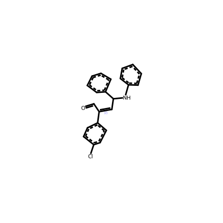 O=C/C(=C\C(Nc1ccccc1)c1ccccc1)c1ccc(Cl)cc1